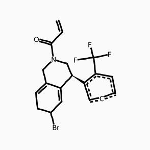 C=CC(=O)N1CC2=CCC(Br)C=C2[C@H](c2ccccc2C(F)(F)F)C1